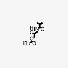 C=C(C)C(=O)NCC(O)COC(=O)C(C)CC